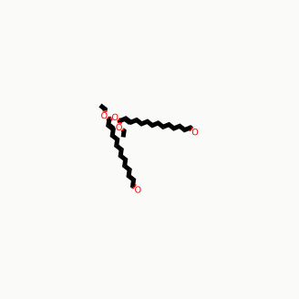 CCOC(C=CCCCCCCCCCCC=O)OC(C=CCCCCCCCCCCC=O)OCC